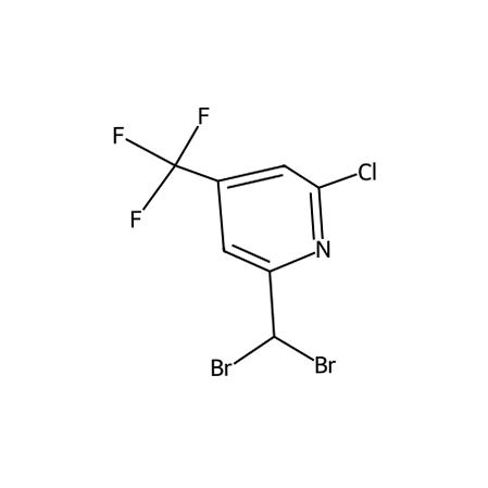 FC(F)(F)c1cc(Cl)nc(C(Br)Br)c1